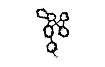 Brc1ccc(-c2ccc3c(c2)C2(c4ccccc4-c4ccccc42)c2ccc4ccccc4c2-3)cc1